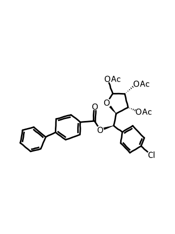 CC(=O)OC1O[C@H]([C@H](OC(=O)c2ccc(-c3ccccc3)cc2)c2ccc(Cl)cc2)[C@@H](OC(C)=O)[C@H]1OC(C)=O